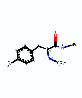 CC(C)(C)NC(=O)[C@H](Cc1ccc([N+](=O)[O-])cc1)NC(=O)O